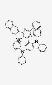 N#Cc1c(-c2ccc3ccccc3c2)nc(-c2ccccc2)nc1-c1c2c3ccccc3n(-c3ccccc3)c2cc2c3ccccc3n(-c3ccccc3)c12